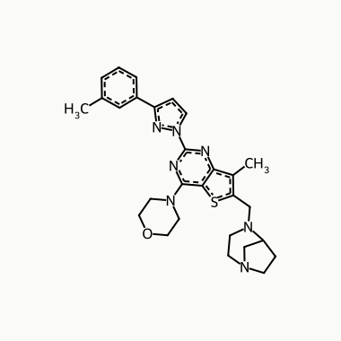 Cc1cccc(-c2ccn(-c3nc(N4CCOCC4)c4sc(CN5CCN6CCC5C6)c(C)c4n3)n2)c1